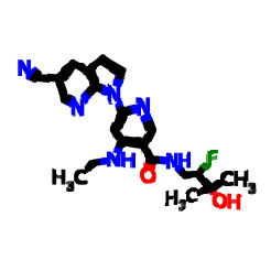 CCNc1cc(-n2ccc3cc(C#N)cnc32)ncc1C(=O)NCC(F)C(C)(C)O